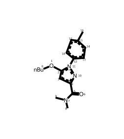 CCCCOc1cc(C(=O)N(C)C)nn1-c1ccc(C)cc1